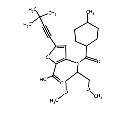 COCC(COC)N(C(=O)C1CCC(C)CC1)c1cc(C#CC(C)(C)C)sc1C(=O)O